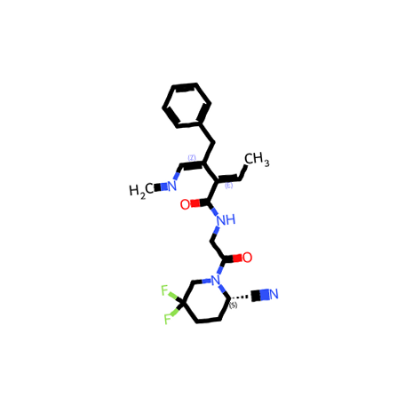 C=N/C=C(Cc1ccccc1)\C(=C/C)C(=O)NCC(=O)N1CC(F)(F)CC[C@H]1C#N